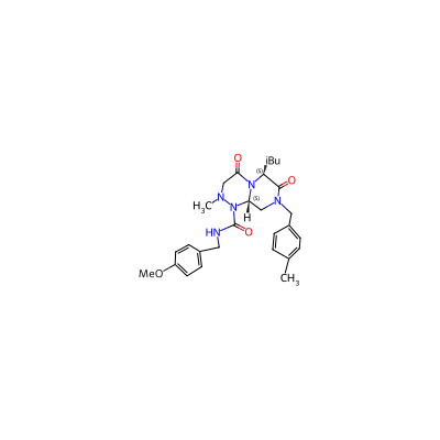 CCC(C)[C@H]1C(=O)N(Cc2ccc(C)cc2)C[C@H]2N1C(=O)CN(C)N2C(=O)NCc1ccc(OC)cc1